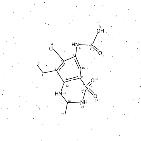 CCc1c(Cl)c(NS(=O)O)cc2c1NC(C)NS2(=O)=O